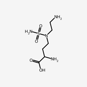 NCCN(CCC(N)C(=O)O)S(N)(=O)=O